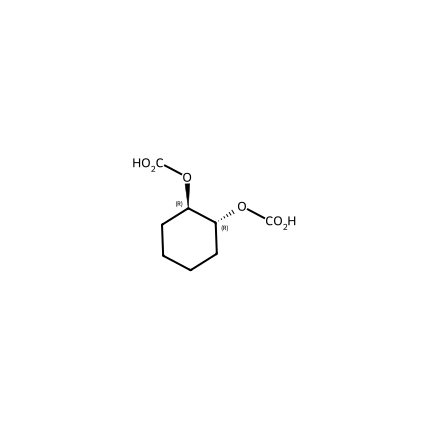 O=C(O)O[C@@H]1CCCC[C@H]1OC(=O)O